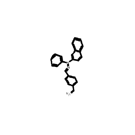 C=Cc1ccc(C=NN(c2ccccc2)c2ccc3ccccc3c2)cc1